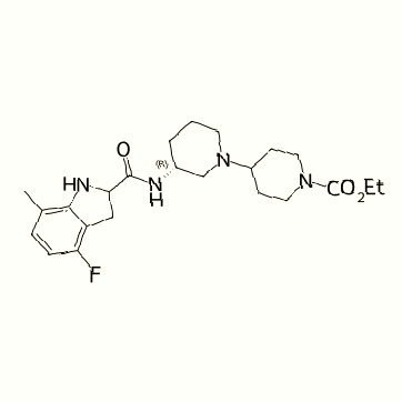 CCOC(=O)N1CCC(N2CCC[C@@H](NC(=O)C3Cc4c(F)ccc(C)c4N3)C2)CC1